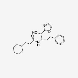 O=C(CCC1CCCCC1)N[C@@H](CCc1ccccc1)C(O)c1ncco1